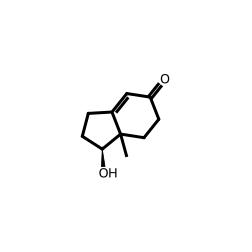 CC12CCC(=O)C=C1CC[C@@H]2O